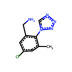 Cc1cc(Cl)cc(CN)c1-n1cnnn1